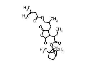 C=C(C)CC(=O)OCC(C)CC1C(=O)OC(=O)C1C(CC)C(=O)OC1CC2CCC1(C)C2(C)C